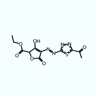 CCOC(=O)C1OC(=O)C(N=Nc2nnc(C(C)=O)s2)=C1O